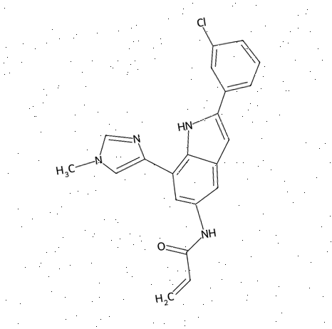 C=CC(=O)Nc1cc(-c2cn(C)cn2)c2[nH]c(-c3cccc(Cl)c3)cc2c1